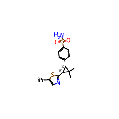 CC(C)c1cnc([C@H]2[C@H](c3ccc(S(N)(=O)=O)cc3)C2(C)C)s1